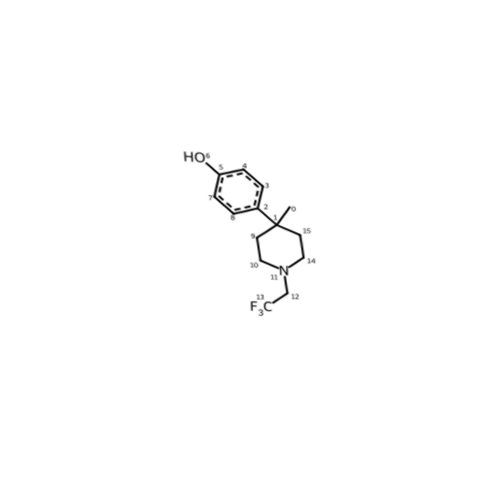 CC1(c2ccc(O)cc2)CCN(CC(F)(F)F)CC1